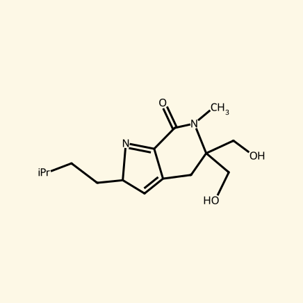 CC(C)CCC1C=C2CC(CO)(CO)N(C)C(=O)C2=N1